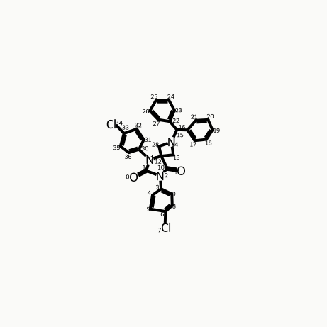 O=C1N(c2ccc(Cl)cc2)C(=O)C2(CN(C(c3ccccc3)c3ccccc3)C2)N1c1ccc(Cl)cc1